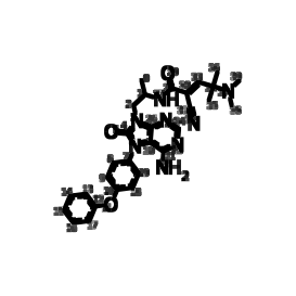 CC(Cn1c(=O)n(-c2ccc(Oc3ccccc3)cc2)c2c(N)ncnc21)NC(=O)C(C#N)=CC(C)(C)N(C)C